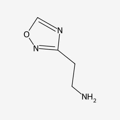 NCCc1ncon1